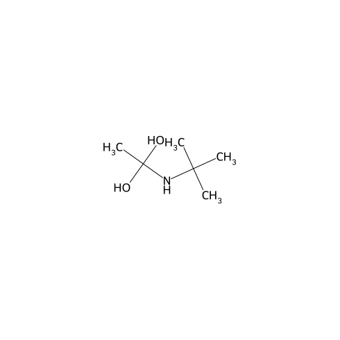 CC(C)(C)NC(C)(O)O